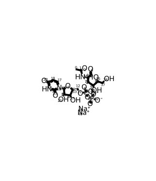 CC(=O)N[C@@H](C=O)[C@@H](OP(=O)(OC[C@H]1O[C@@H](n2ccc(=O)[nH]c2=O)[C@H](O)[C@@H]1O)OP(=O)([O-])[O-])[C@@H](O)[C@H](O)CO.[Na+].[Na+]